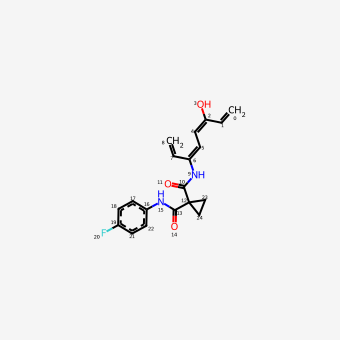 C=C/C(O)=C\C=C(/C=C)NC(=O)C1(C(=O)Nc2ccc(F)cc2)CC1